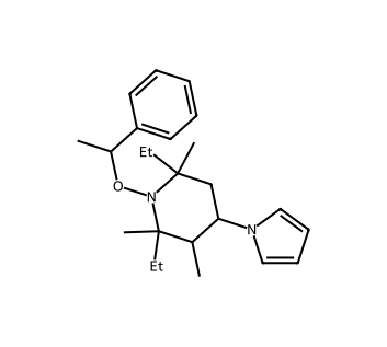 CCC1(C)CC(n2cccc2)C(C)C(C)(CC)N1OC(C)c1ccccc1